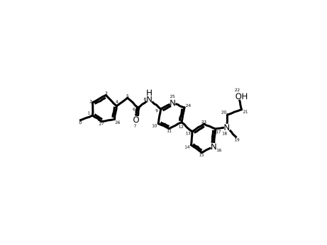 Cc1ccc(CC(=O)Nc2ccc(-c3ccnc(N(C)CCO)c3)cn2)cc1